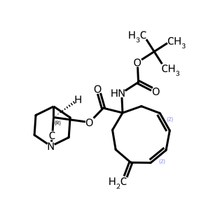 C=C1/C=C\C=C/CC(NC(=O)OC(C)(C)C)(C(=O)O[C@H]2CN3CCC2CC3)CC1